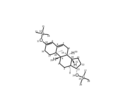 C[C@]12CC[C@H]3[C@@H](CC=C4C=C(O[Si](C)(C)C)CC[C@@]43C)[C@@H]1CC[C@@H]2O[Si](C)(C)C